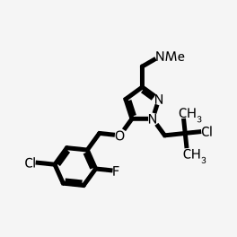 CNCc1cc(OCc2cc(Cl)ccc2F)n(CC(C)(C)Cl)n1